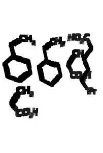 C=CC(=O)O.C=CC(=O)O.C=Cc1ccccc1.C=Cc1ccccc1.CC(C)CCCCC(=O)O